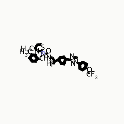 Cc1cccc(C)c1N1/C(=N/C(=O)NCC(F)c2ccc(-c3ncn(-c4ccc(OC(F)(F)F)cc4)n3)cc2)SCCC1C